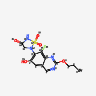 CC(C)CCOc1ncc2cc(O)c(N3CC(=O)NS3(=O)=O)c(F)c2n1